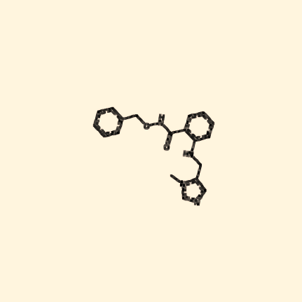 Cn1cncc1CNc1ccccc1C(=O)NOCc1ccccc1